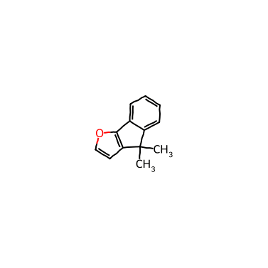 CC1(C)c2ccccc2-c2occc21